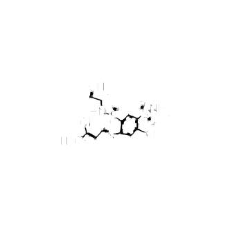 C=CCNS(=O)(=O)c1cc(S(N)(=O)=O)c(Cl)cc1N=CC=C(C)O